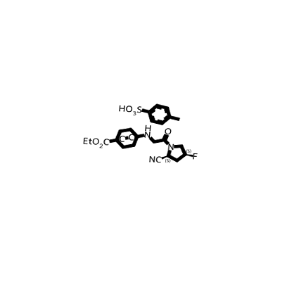 CCOC(=O)C12CCC(NCC(=O)N3C[C@@H](F)C[C@H]3C#N)(CC1)CC2.Cc1ccc(S(=O)(=O)O)cc1